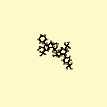 COc1c(C(C)(C)C)cc2c(c1-c1ccccc1)C=C(C)C2[Si](C)(C)C1C(C)=Cc2c(-c3ccc(C(C)(C)C)cc3)cc(C(C)(C)C)cc21